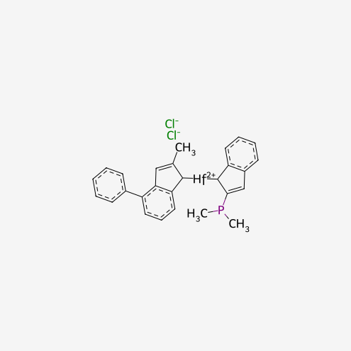 CC1=Cc2c(-c3ccccc3)cccc2[CH]1[Hf+2][CH]1C(P(C)C)=Cc2ccccc21.[Cl-].[Cl-]